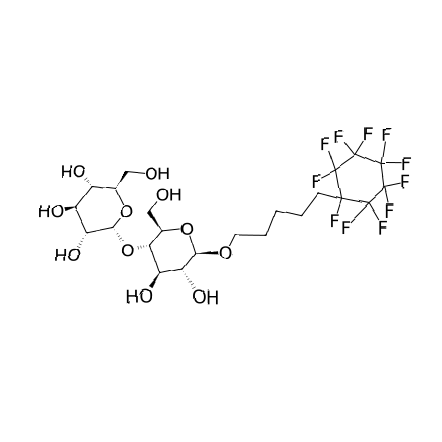 OC[C@H]1O[C@H](O[C@H]2[C@H](O)[C@@H](O)[C@H](OCCCCCC3(F)C(F)(F)C(F)(F)C(F)(F)C(F)(F)C3(F)F)O[C@@H]2CO)[C@H](O)[C@@H](O)[C@@H]1O